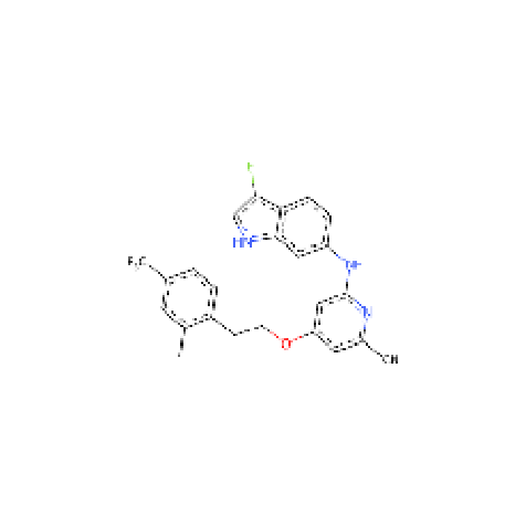 Cc1cc(C(F)(F)F)ccc1CCOc1cc(C#N)nc(Nc2ccc3c(F)c[nH]c3c2)c1